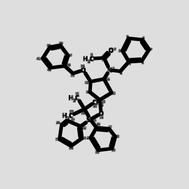 CC(=O)N(Cc1ccccc1)C1CC(O[Si](c2ccccc2)(c2ccccc2)C(C)(C)C)CC1OCc1ccccc1